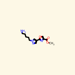 COC(=O)c1coc(-c2cnn(CCCCCN)c2)n1